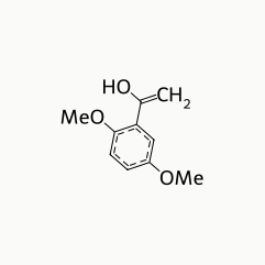 C=C(O)c1cc(OC)ccc1OC